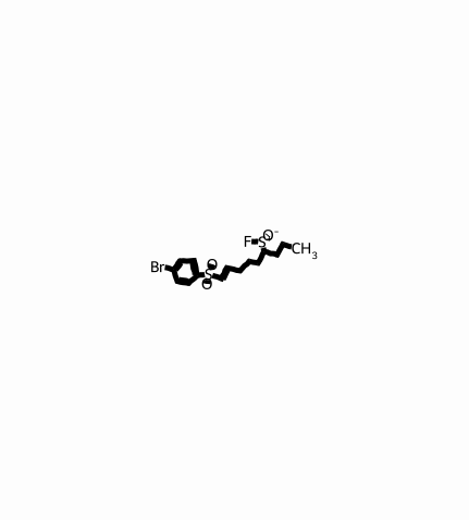 CCCC(CCCC=CS(=O)(=O)c1ccc(Br)cc1)[S+]([O-])F